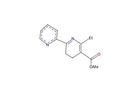 CCC1=C(C(=O)OC)CCC(c2ccccn2)=N1